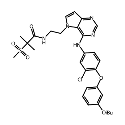 CC(C)COc1cccc(Oc2ccc(Nc3ncnc4ccn(CCNC(=O)C(C)(C)S(C)(=O)=O)c34)cc2Cl)c1